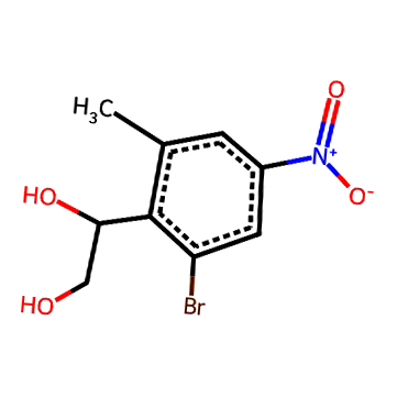 Cc1cc([N+](=O)[O-])cc(Br)c1C(O)CO